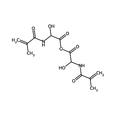 C=C(C)C(=O)NC(O)C(=O)OC(=O)C(O)NC(=O)C(=C)C